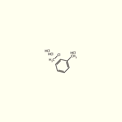 CCl.Cc1ccccc1.Cl.Cl.Cl